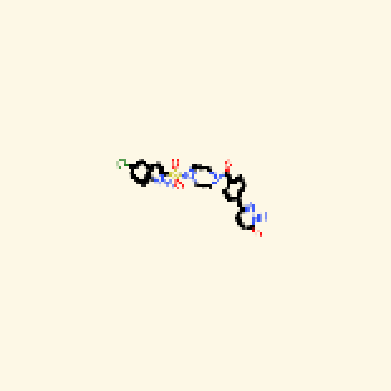 O=C(c1ccc(-c2ccc(=O)[nH]n2)cc1)N1CCN(S(=O)(=O)c2cc3cc(Cl)ccc3[nH]2)CC1